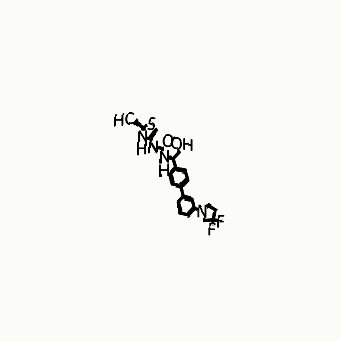 C#Cc1nc(NC(=O)NC(CO)c2ccc(-c3cccc(N4CCC(F)(F)C4)c3)cc2)cs1